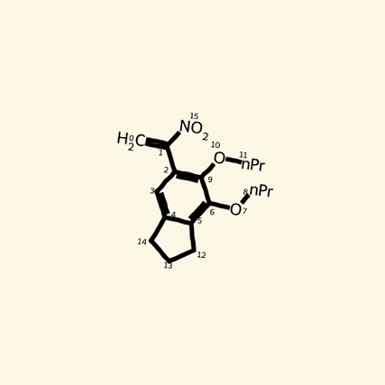 C=C(c1cc2c(c(OCCC)c1OCCC)CCC2)[N+](=O)[O-]